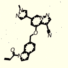 C=CC(=O)n1ccc2ccc(COc3cc(-c4cnn(C)c4)cn4ncc(C#N)c34)cc21